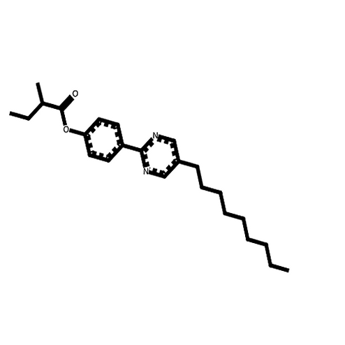 CCCCCCCCCc1cnc(-c2ccc(OC(=O)C(C)CC)cc2)nc1